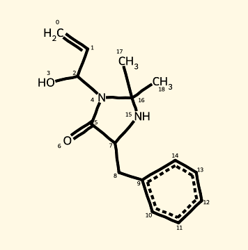 C=CC(O)N1C(=O)C(Cc2ccccc2)NC1(C)C